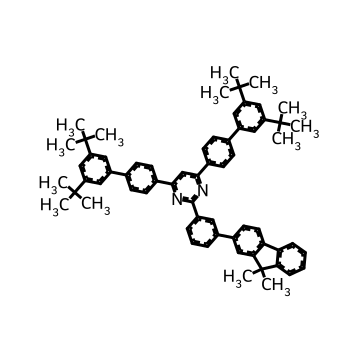 CC(C)(C)c1cc(-c2ccc(-c3cc(-c4ccc(-c5cc(C(C)(C)C)cc(C(C)(C)C)c5)cc4)nc(-c4cccc(-c5ccc6c(c5)C(C)(C)c5ccccc5-6)c4)n3)cc2)cc(C(C)(C)C)c1